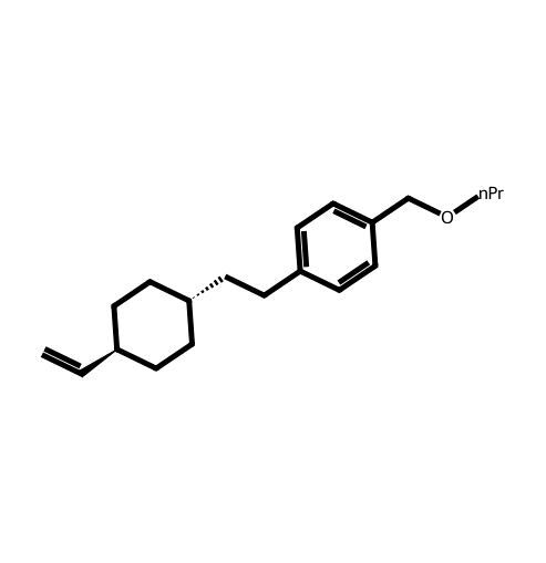 C=C[C@H]1CC[C@H](CCc2ccc(COCCC)cc2)CC1